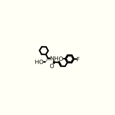 O=C(N[C@H](CO)C1CCCCC1)C1=CCc2cc(F)ccc2O1